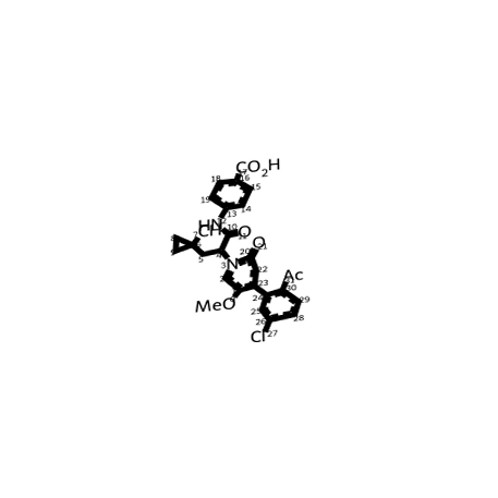 COc1cn(C(CC2(C)CC2)C(=O)Nc2ccc(C(=O)O)cc2)c(=O)cc1-c1cc(Cl)ccc1C(C)=O